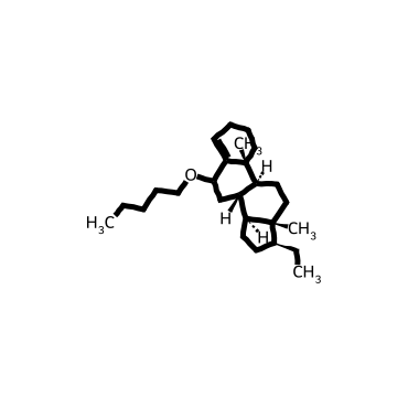 CCCCCOC1C[C@H]2[C@@H]3CC[C@H](CC)[C@@]3(C)CC[C@@H]2[C@@]2(C)CCCC=C12